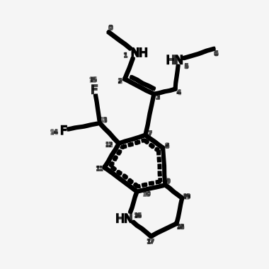 CN/C=C(\CNC)c1cc2c(cc1C(F)F)NCCC2